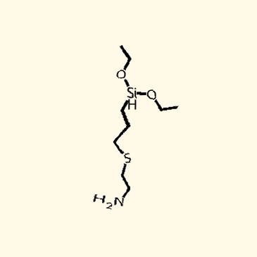 CCO[SiH](CCCSCCN)OCC